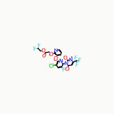 Cn1c(C(F)(F)F)cc(=O)n(-c2nc(Oc3cccnc3OCC(=O)OCC(F)F)c(Cl)cc2F)c1=O